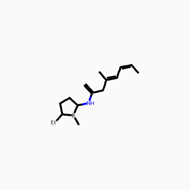 C=C(C/C(C)=C/C=C\C)NC1CCC(CC)B1C